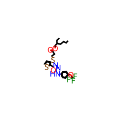 CCCCC(CC)COC(=O)CCSc1ccsc1-c1nnc(Nc2ccc(OC(F)(F)F)cc2)o1